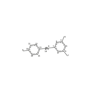 Cc1cc(C)cc(C)c1.Cc1ccc(C(C)C)cc1